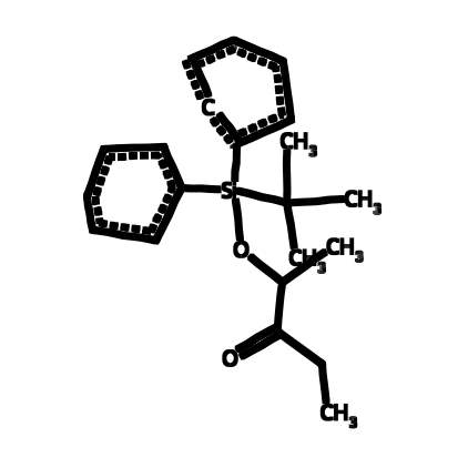 CCC(=O)C(C)O[Si](c1ccccc1)(c1ccccc1)C(C)(C)C